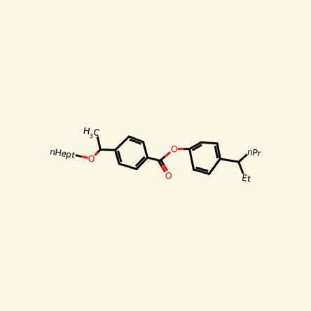 CCCCCCCOC(C)c1ccc(C(=O)Oc2ccc(C(CC)CCC)cc2)cc1